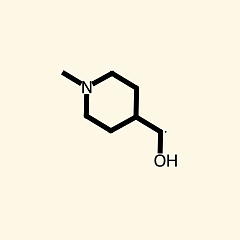 CN1CCC([CH]O)CC1